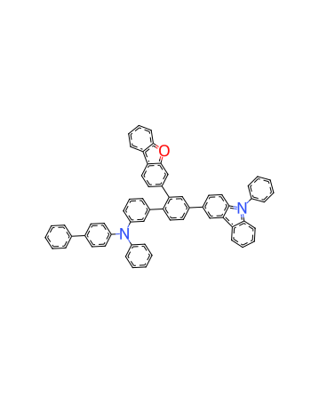 c1ccc(-c2ccc(N(c3ccccc3)c3cccc(-c4ccc(-c5ccc6c(c5)c5ccccc5n6-c5ccccc5)cc4-c4ccc5c(c4)oc4ccccc45)c3)cc2)cc1